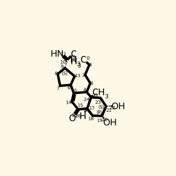 CCCCC1C(C2CC[C@H](C(C)=N)C2)=CC(=O)[C@@H]2C[C@@H](O)[C@@H](O)C[C@]12C